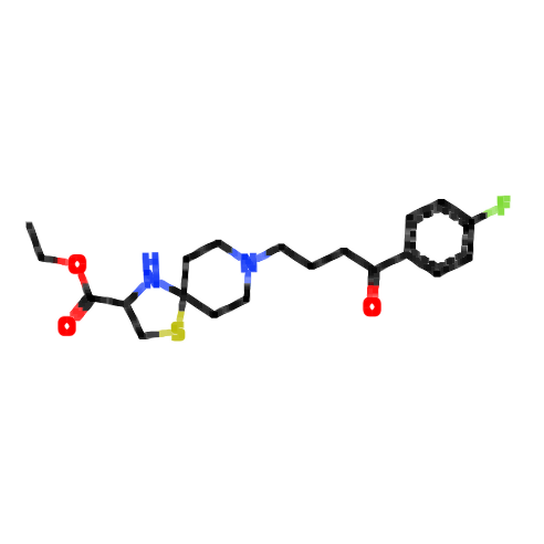 CCOC(=O)C1CSC2(CCN(CCCC(=O)c3ccc(F)cc3)CC2)N1